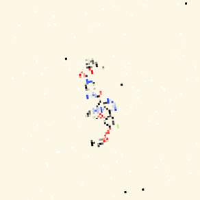 COCOc1cc(OCC2CC2)c(-c2ncnc3c(C(=O)NC4CCN(C(=O)OC(C)(C)C)CC4)c[nH]c23)cc1F